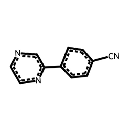 N#Cc1ccc(-c2cnccn2)cc1